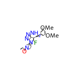 C=CC(=O)N1CC[C@H](n2c(F)c(C#Cc3cc(OC)cc(OC)c3)c3c(N)ncnc32)C1